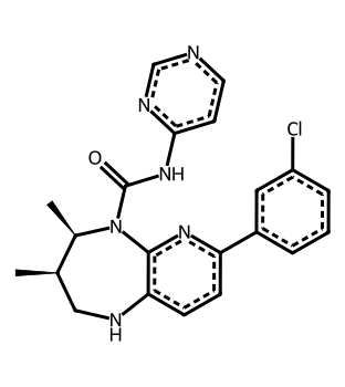 C[C@@H]1CNc2ccc(-c3cccc(Cl)c3)nc2N(C(=O)Nc2ccncn2)[C@@H]1C